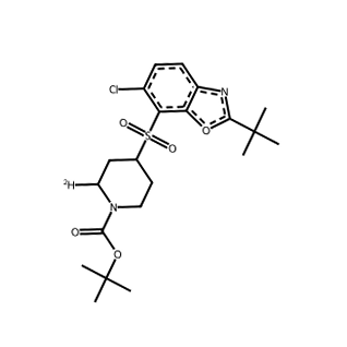 [2H]C1CC(S(=O)(=O)c2c(Cl)ccc3nc(C(C)(C)C)oc23)CCN1C(=O)OC(C)(C)C